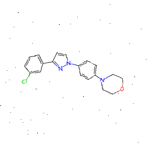 Clc1cccc(-c2ccn(-c3ccc(N4CCOCC4)cc3)n2)c1